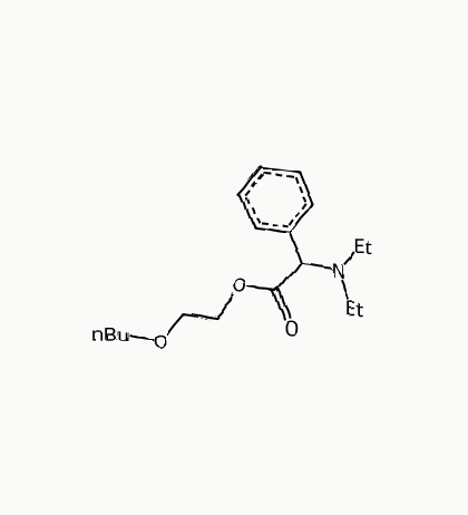 CCCCOCCOC(=O)C(c1ccccc1)N(CC)CC